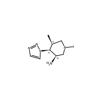 C[C@H]1CN(I)C[C@@H](N)[C@H]1n1ccnn1